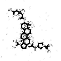 C=C(C)[C@@H]1CC[C@]2(CC(=O)N[C@H]3CCN(C(=C)C)C3)CC[C@]3(C)[C@H](CC[C@@H]4[C@@]5(C)CC[C@H](OC(=O)CC(C)(C)CC(=O)O)C(C)(C)[C@@H]5CC[C@]43C)[C@@H]12